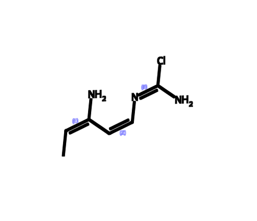 C\C=C(N)/C=C\N=C(/N)Cl